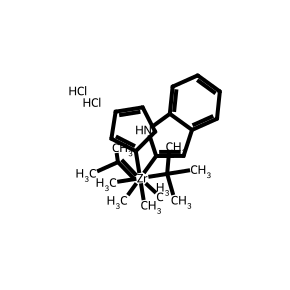 C[C](C)=[Zr]([CH3])([CH3])([CH3])([CH3])([C]1=CC=CC1)([c]1cc2ccccc2[nH]1)[C](C)(C)C.Cl.Cl